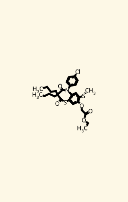 CCCCC1(CCCC)C(=O)Sc2cc(OCC(=O)OCC)c(SC)cc2N(c2ccc(Cl)cc2)C1=O